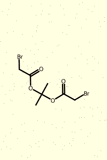 CC(C)(OC(=O)CBr)OC(=O)CBr